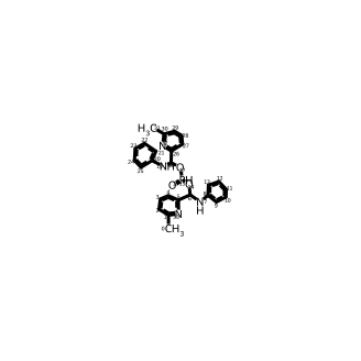 Cc1cccc(C(Nc2ccccc2)O[PH](=O)OC(Nc2ccccc2)c2cccc(C)n2)n1